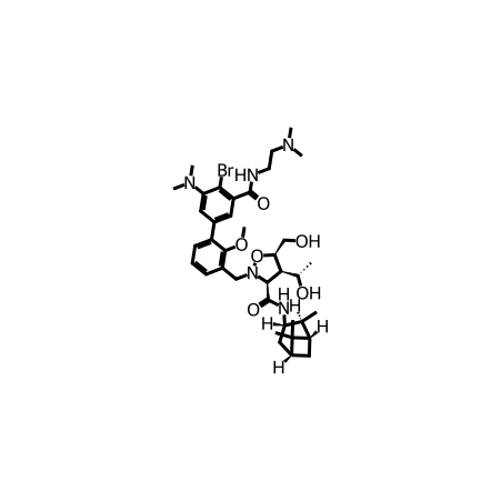 COc1c(CN2O[C@@H](CO)[C@@H]([C@H](C)O)[C@H]2C(=O)N[C@H]2C[C@H]3C[C@@H]([C@@H]2C)C3(C)C)cccc1-c1cc(C(=O)NCCN(C)C)c(Br)c(N(C)C)c1